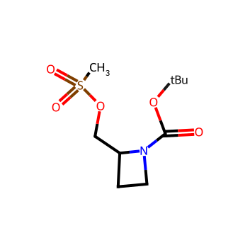 CC(C)(C)OC(=O)N1CCC1COS(C)(=O)=O